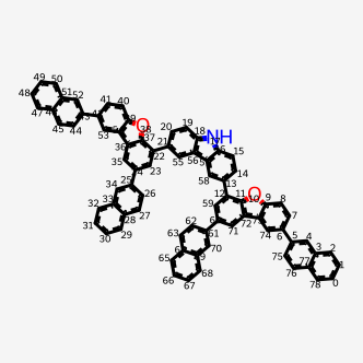 c1ccc2cc(-c3ccc4oc5c(-c6ccc7[nH]c8ccc(-c9cc(-c%10ccc%11ccccc%11c%10)cc%10c9oc9ccc(-c%11ccc%12ccccc%12c%11)cc9%10)cc8c7c6)cc(-c6ccc7ccccc7c6)cc5c4c3)ccc2c1